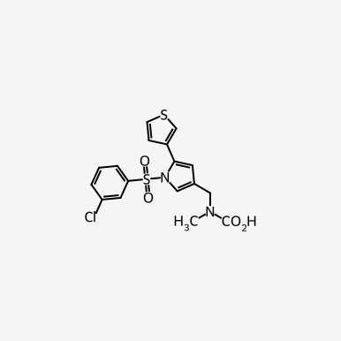 CN(Cc1cc(-c2ccsc2)n(S(=O)(=O)c2cccc(Cl)c2)c1)C(=O)O